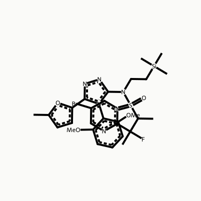 COc1cccc(OC)c1-n1c(-c2ccc(C)o2)nnc1N(CC[Si](C)(C)C)S(=O)(=O)C(C)C(C)(F)c1ncc(Br)cn1